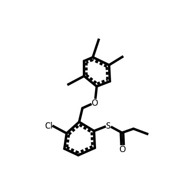 CCC(=O)Sc1cccc(Cl)c1COc1cc(C)c(C)cc1C